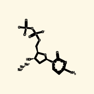 Nc1ccn([C@H]2C[C@H](O)[C@@H](COP(=O)([O-])OP(=O)([O-])[O-])O2)c(=O)n1.[Na+].[Na+].[Na+]